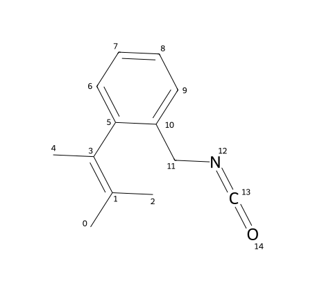 CC(C)=C(C)c1ccccc1CN=C=O